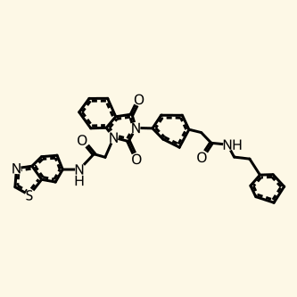 O=C(Cc1ccc(-n2c(=O)c3ccccc3n(CC(=O)Nc3ccc4ncsc4c3)c2=O)cc1)NCCc1ccccc1